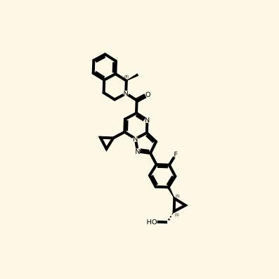 C[C@@H]1c2ccccc2CCN1C(=O)c1cc(C2CC2)n2nc(-c3ccc([C@H]4C[C@@H]4CO)cc3F)cc2n1